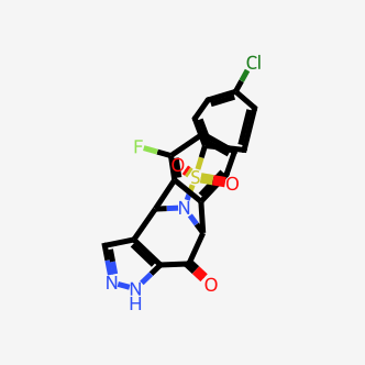 O=C1c2[nH]ncc2C2c3c(F)cccc3C1N2S(=O)(=O)c1ccc(Cl)cc1